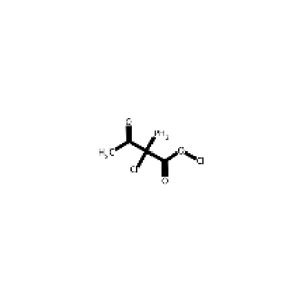 CC(=O)C(P)(Cl)C(=O)OCl